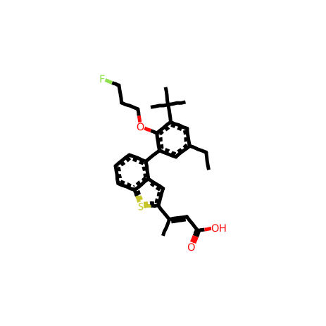 CCc1cc(-c2cccc3sc(C(C)=CC(=O)O)cc23)c(OCCCF)c(C(C)(C)C)c1